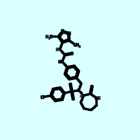 Cc1noc(C)c1NC(=O)Nc1ccc(CN([C@@H]2CCCCNC2=O)S(=O)(=O)c2ccc(Cl)cc2)cc1